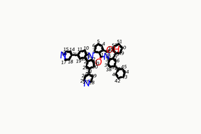 O=C1c2c(cccc2-n2c3ccc(-c4ccncc4)cc3c3cc(-c4ccncc4)ccc32)C(O)N1c1ccc(-c2ccccc2)cc1-c1ccccc1